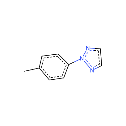 Cc1ccc(-n2nccn2)cc1